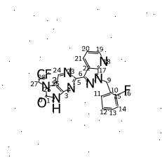 O=c1[nH]c2nc(-c3nn(Cc4ccccc4F)c4ncccc34)ncc2n1CC(F)(F)F